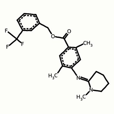 Cc1cc(C(=O)OCc2cccc(C(F)(F)F)c2)c(C)cc1/N=C1\CCCCN1C